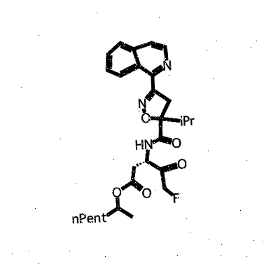 CCCCCC(C)OC(=O)C[C@H](NC(=O)C1(C(C)C)CC(c2nccc3ccccc23)=NO1)C(=O)CF